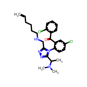 C=CCCCCNCc1nnc(C(C)N(C)C)n1-c1ccc(Cl)cc1C(=O)c1ccccc1Cl